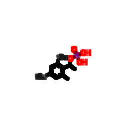 Cc1cc(C(C)(C)C)cc(C(C)(C)C)c1C(C)OP(=O)(O)O